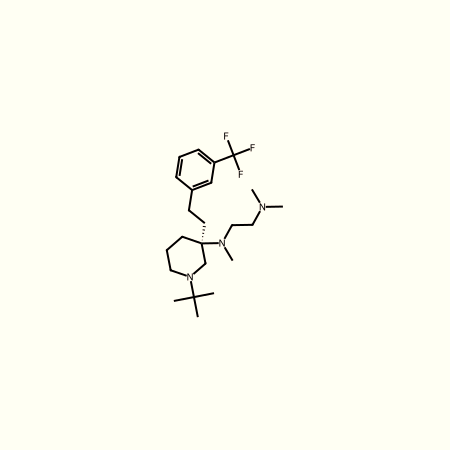 CN(C)CCN(C)[C@]1(CCc2cccc(C(F)(F)F)c2)CCCN(C(C)(C)C)C1